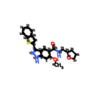 COc1cc2[nH]nc(-c3cc4ccccc4s3)c2cc1C(=O)NCC1CCCO1